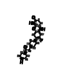 O=C1CCC(Nc2ccc(N3CCN(CC(=O)N4CCNCC4)CC3)c(F)c2)C(=O)N1